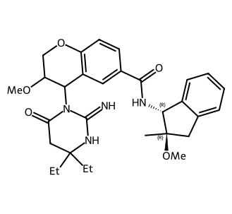 CCC1(CC)CC(=O)N(C2c3cc(C(=O)N[C@@H]4c5ccccc5C[C@@]4(C)OC)ccc3OCC2OC)C(=N)N1